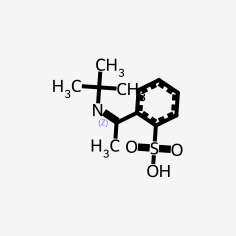 C/C(=N/C(C)(C)C)c1ccccc1S(=O)(=O)O